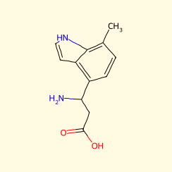 Cc1ccc(C(N)CC(=O)O)c2cc[nH]c12